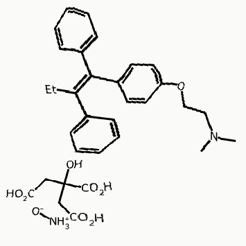 CC/C(=C(\c1ccccc1)c1ccc(OCCN(C)C)cc1)c1ccccc1.O=C(O)CC(O)(CC(=O)O)C(=O)O.[NH3+][O-]